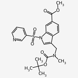 COC(=O)c1ccc2c(CN(C)C(=O)OC(C)(C)C)cn(S(=O)(=O)c3cccnc3)c2c1